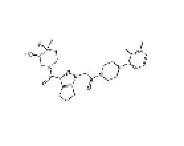 Cc1cccc(N2CCN(C(=O)Cn3nc(C(=O)N4CCC(F)(F)[C@H](O)C4)c4c3CCC4)CC2)c1C